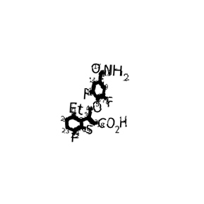 CCC1=c2c(COc3c(F)cc(C(N)=O)cc3F)c(C(=O)O)sc2=C(F)CC1